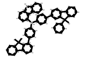 CC1(C)c2ccccc2-c2cccc(-c3ccc(N(c4ccc(-c5ccc6c(c5)C(C)(c5ccccc5)c5ccccc5-6)cc4)c4cccc5sc6ccccc6c45)cc3)c21